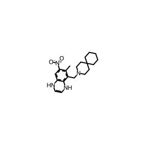 Cc1c([N+](=O)[O-])cc2c(c1CN1CCC3(CCCCC3)CC1)NC=CN2